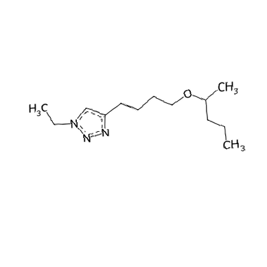 CCCC(C)OCCCCc1cn(CC)nn1